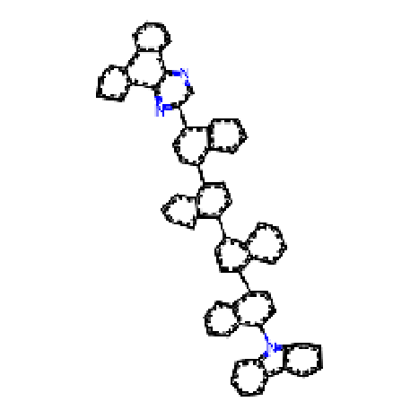 c1ccc2c(-c3ccc(-c4ccc(-c5ccc(-n6c7ccccc7c7ccccc76)c6ccccc56)c5ccccc45)c4ccccc34)ccc(-c3cnc4c5ccccc5c5ccccc5c4n3)c2c1